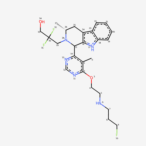 Cc1c(OCCNCCCF)ncnc1C1c2[nH]c3ccccc3c2C[C@@H](C)N1CC(F)(F)CO